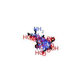 CC(C)C[C@H](NC(=O)[C@H](CCCCN)NC(=O)[C@H](Cc1c[nH]c2ccccc12)NC(=O)[C@H](CC(C)C)NC(=O)[C@H](CC(=O)O)NC(=O)[C@H](CO)NC(=O)[C@H](Cc1ccccc1)NC(=O)[C@@H](NC(=O)[C@@H](N)CCC(=O)O)[C@@H](C)O)C(=O)O